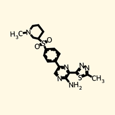 Cc1nnc(-c2nc(-c3ccc(S(=O)(=O)C4CCCN(C)C4)cc3)cnc2N)s1